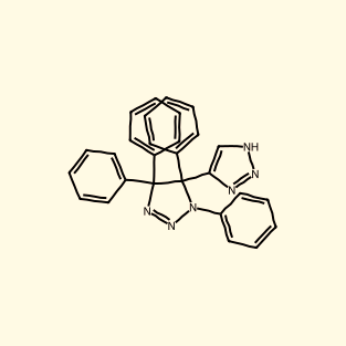 c1ccc(N2N=NC(c3ccccc3)(c3ccccc3)C2(c2ccccc2)c2c[nH]nn2)cc1